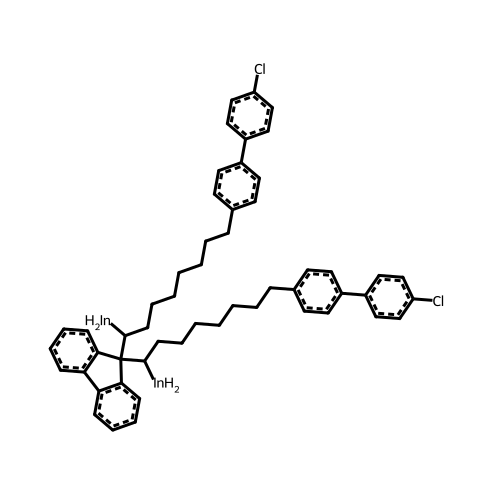 Clc1ccc(-c2ccc(CCCCCCC[CH]([InH2])C3([CH]([InH2])CCCCCCCc4ccc(-c5ccc(Cl)cc5)cc4)c4ccccc4-c4ccccc43)cc2)cc1